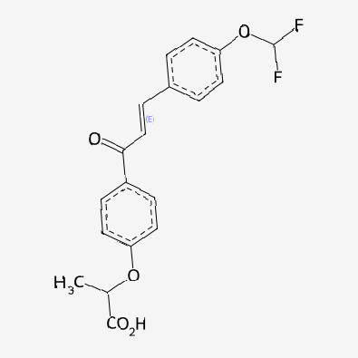 CC(Oc1ccc(C(=O)/C=C/c2ccc(OC(F)F)cc2)cc1)C(=O)O